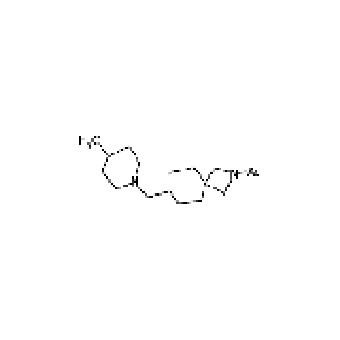 CC(=O)N1CC2(CCC(CN3CCC(C)CC3)CC2)C1